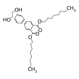 CCCCCCCCOC(=O)c1ccccc1C(=O)OCCCCCCCC.OCCO.c1ccccc1